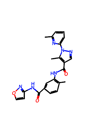 Cc1cccc(-n2ncc(C(=O)Nc3cc(C(=O)Nc4ccon4)ccc3C)c2C)n1